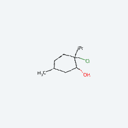 CC1CCC(Cl)(C(C)C)C(O)C1